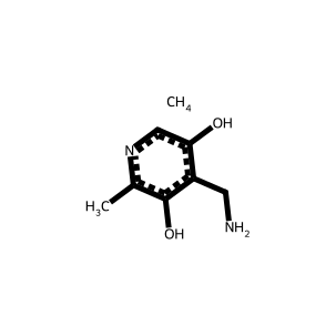 C.Cc1ncc(O)c(CN)c1O